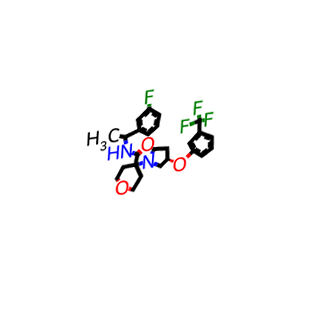 CC(NC(=O)C1(N2CC[C@@H](Oc3cccc(C(F)(F)F)c3)C2)CCOCC1)c1cccc(F)c1